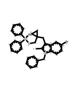 CC(C)(C)[Si](OCC1(Cc2c(I)n(Cc3ccccc3)c3ccc(Br)cc23)CC1)(c1ccccc1)c1ccccc1